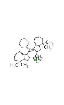 CC1CC2C(=CC=CCC2(C)C)[CH]1[Zr+2](=[C]1CCCCC1)[CH]1C2=CC=CCC(C)(C)C2CC1C.[Cl-].[Cl-]